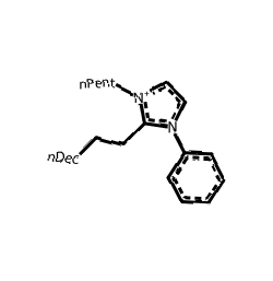 CCCCCCCCCCCCc1n(-c2ccccc2)cc[n+]1CCCCC